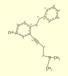 CN(C)CCC#Cc1cc(Cl)ccc1CCc1ccccc1